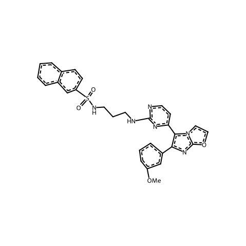 COc1cccc(-c2nc3occn3c2-c2ccnc(NCCCNS(=O)(=O)c3ccc4ccccc4c3)n2)c1